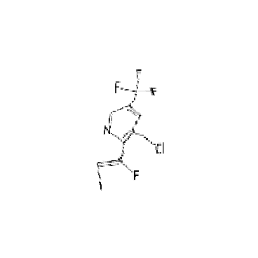 FC(=CI)c1ncc(C(F)(F)F)cc1Cl